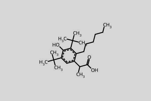 CCCCCCc1c(C(C)C(=O)O)cc(C(C)(C)C)c(O)c1C(C)(C)C